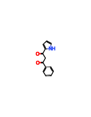 O=C(CC(=O)c1ccc[nH]1)c1ccccc1